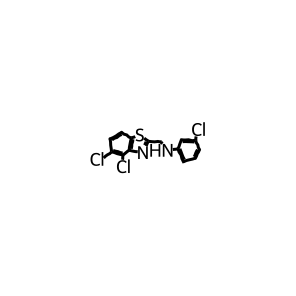 Clc1cccc(NCc2nc3c(Cl)c(Cl)ccc3s2)c1